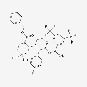 CC(OC1OCCC(C2CC(C)(O)CCN2C(=O)OCc2ccccc2)C1c1ccc(F)cc1)c1cc(C(F)(F)F)cc(C(F)(F)F)c1